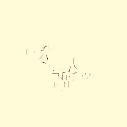 COc1cc(F)cc2c1nc(N)n1nc(CNCc3ccc([C@](C)(O)C(F)(F)F)cc3)nc21